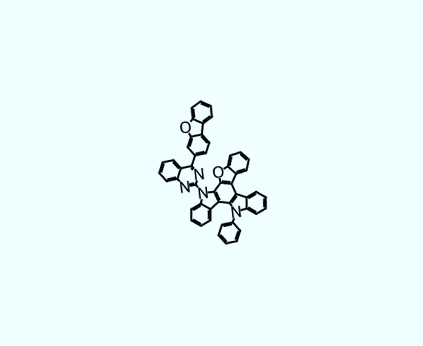 c1ccc(-n2c3ccccc3c3c4c5ccccc5oc4c4c(c5ccccc5n4-c4nc(-c5ccc6c(c5)oc5ccccc56)c5ccccc5n4)c32)cc1